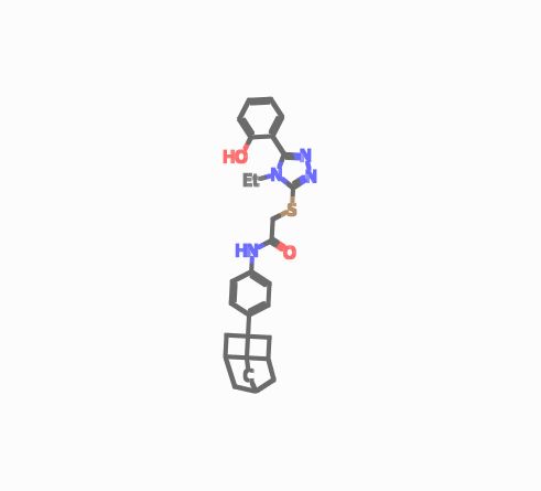 CCn1c(SCC(=O)Nc2ccc(C34CC5CC6CC(C3)C54C6)cc2)nnc1-c1ccccc1O